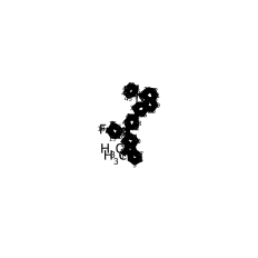 CC1(C)c2ccccc2-c2ccc(N(c3ccc(F)cc3)c3ccc(-c4cc5ccc6cccc7c6c5c(c4)n7-c4ccccc4)cc3)cc21